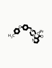 Cc1ccc(Oc2ccc(CN3CCN(c4ncccc4C(=O)OC(C)C)CC3)cc2)cc1